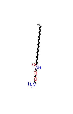 CCC=CCC=CCC=CCC=CCC=CCC=CCCC(=O)NCCOCCOCCN